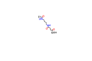 CCC(=O)NCCCCNC(=O)CCC(=O)NC